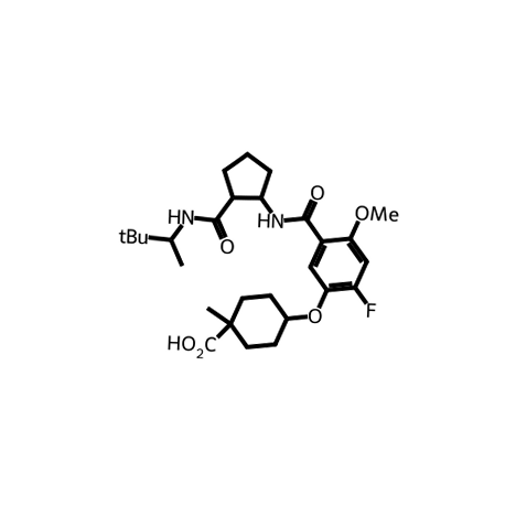 COc1cc(F)c(OC2CCC(C)(C(=O)O)CC2)cc1C(=O)NC1CCCC1C(=O)NC(C)C(C)(C)C